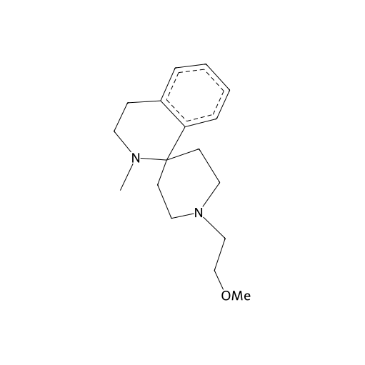 COCCN1CCC2(CC1)c1ccccc1CCN2C